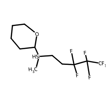 C[SiH](CCC(F)(F)C(F)(F)C(F)(F)F)C1CCCCO1